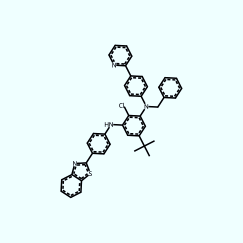 CC(C)(C)c1cc(Nc2ccc(-c3nc4ccccc4s3)cc2)c(Cl)c(N(Cc2ccccc2)c2ccc(-c3ccccn3)cc2)c1